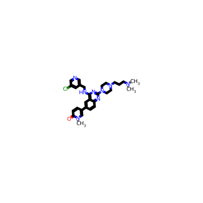 CN(C)CCCN1CCN(c2nc(NCc3cncc(Cl)c3)c3cc(-c4ccc(=O)n(C)c4)ccc3n2)CC1